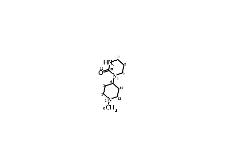 CN1CCC(N2CCCNC2=O)CC1